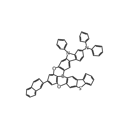 c1ccc(N(c2ccccc2)c2ccc3c4cc5c(cc4n(-c4ccccc4)c3c2)Oc2cc(-c3ccc4ccccc4c3)cc3c2B5c2cc4c(cc2O3)sc2ccccc24)cc1